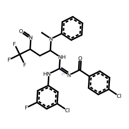 CN(c1ccccc1)C(CC(N=O)C(F)(F)F)N/C(=N\C(=O)c1ccc(Cl)cc1)Nc1cc(F)cc(Cl)c1